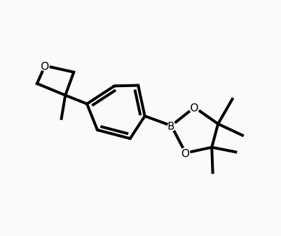 CC1(c2ccc(B3OC(C)(C)C(C)(C)O3)cc2)COC1